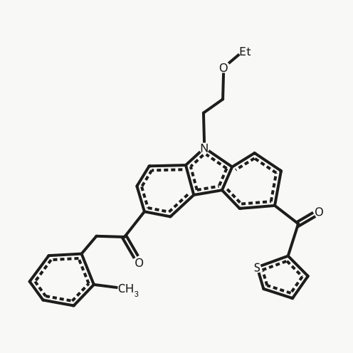 CCOCCn1c2ccc(C(=O)Cc3ccccc3C)cc2c2cc(C(=O)c3cccs3)ccc21